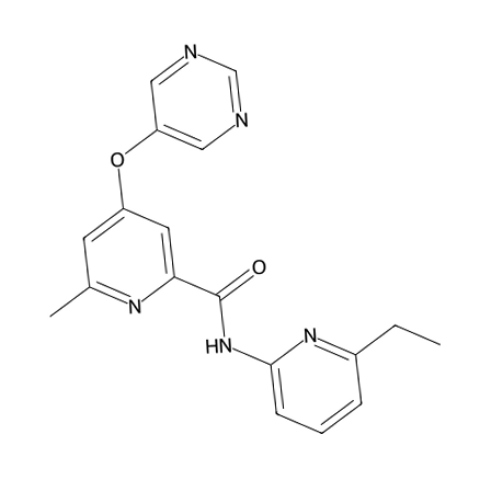 CCc1cccc(NC(=O)c2cc(Oc3cncnc3)cc(C)n2)n1